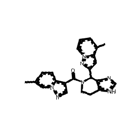 Cc1ccc2c(C(=O)N3CCc4[nH]cnc4C3c3cc4c(C)cccn4n3)cnn2c1